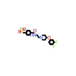 CS(=O)(=O)Cc1ccc(C(=O)NCCN2CCC(Oc3ccc(F)c(F)c3)CC2)cc1